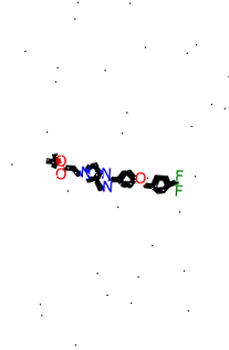 CC(C)(C)OC(=O)CCN1CCc2nc(-c3ccc(OCc4ccc(C(F)F)cc4)cc3)ncc2C1